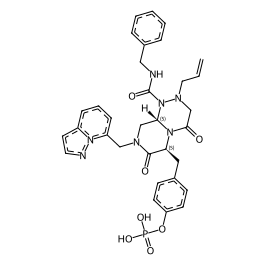 C=CCN1CC(=O)N2[C@@H](Cc3ccc(OP(=O)(O)O)cc3)C(=O)N(Cc3cccc4ccnn34)C[C@@H]2N1C(=O)NCc1ccccc1